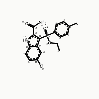 CCOP(=O)(c1ccc(C)cc1)c1c(C(N)=O)[nH]c2ccc(Cl)cc12